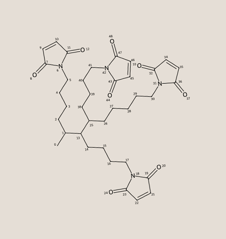 CC(CCCCN1C(=O)C=CC1=O)C(CCCCN1C(=O)C=CC1=O)C(CCCCCN1C(=O)C=CC1=O)CCCCN1C(=O)C=CC1=O